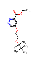 CCOC(=O)c1cc(OCCO[Si](C)(C)C(C)(C)C)cnn1